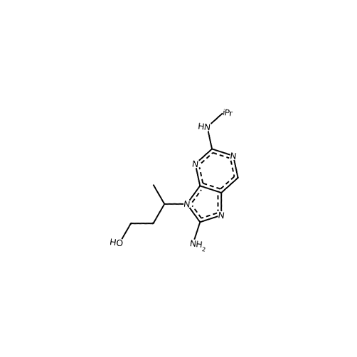 CC(C)Nc1ncc2nc(N)n(C(C)CCO)c2n1